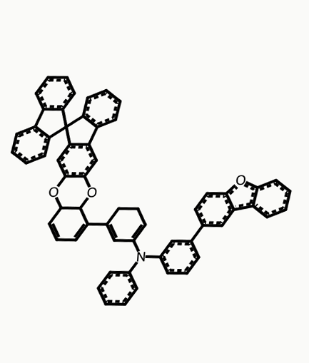 C1=CC2Oc3cc4c(cc3OC2C(C2=CC(N(c3ccccc3)c3cccc(-c5ccc6oc7ccccc7c6c5)c3)=CCC2)=C1)-c1ccccc1C41c2ccccc2-c2ccccc21